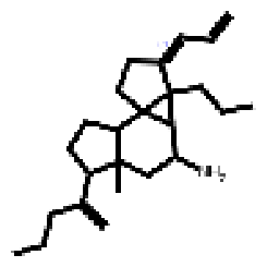 C=C/C=C1/CCC23C4CCC(C(=C)CCC)C4(C)CC(N)C2C13CCC